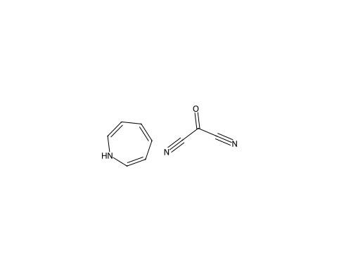 C1=CC=CNC=C1.N#CC(=O)C#N